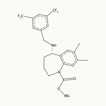 Cc1cc2c(cc1C)N(C(=O)OC(C)(C)C)CCC[C@@H]2NCc1cc(C(F)(F)F)cc(C(F)(F)F)c1